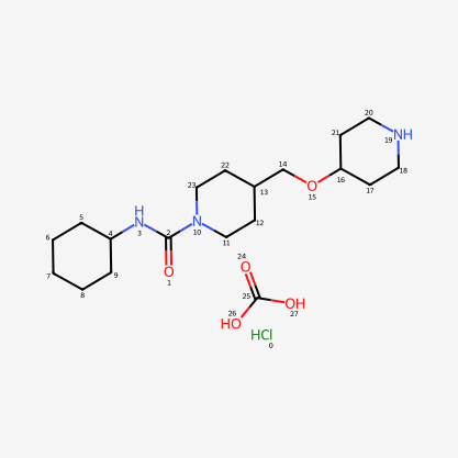 Cl.O=C(NC1CCCCC1)N1CCC(COC2CCNCC2)CC1.O=C(O)O